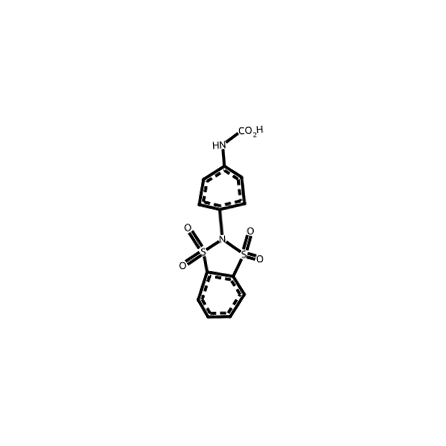 O=C(O)Nc1ccc(N2S(=O)(=O)c3ccccc3S2(=O)=O)cc1